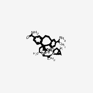 C=C(N)c1ccc2c(c1)CCc1cc(C(N)=O)ccc1C2(C[C@@H](C)NCC(=C)N1C(C#N)C[C@@H]2CC21)C(N)=O